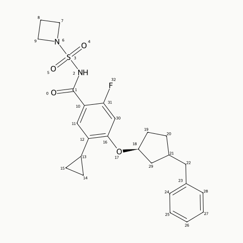 O=C(NS(=O)(=O)N1CCC1)c1cc(C2CC2)c(O[C@H]2CCC(Cc3ccccc3)C2)cc1F